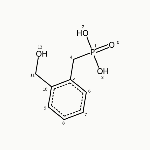 O=P(O)(O)Cc1ccccc1CO